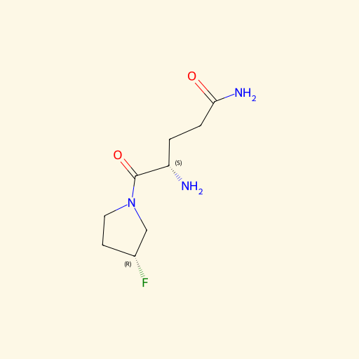 NC(=O)CC[C@H](N)C(=O)N1CC[C@@H](F)C1